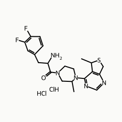 CC1SCc2ncnc(N3CCN(C(=O)C(N)Cc4ccc(F)c(F)c4)CC3C)c21.Cl.Cl